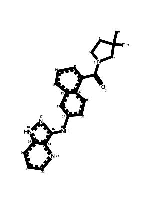 CC1(F)CCN(C(=O)c2cccc3cc(Nc4n[nH]c5cccnc45)ccc23)C1